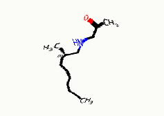 CCCC[C@@H](C)CNCC(C)=O